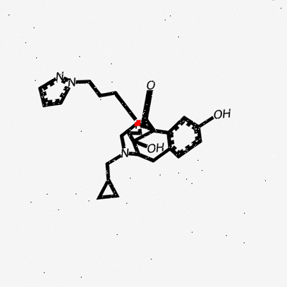 O=C1CC23CCN(CC4CC4)C(Cc4ccc(O)cc42)C3(O)CCN1CCCn1cccn1